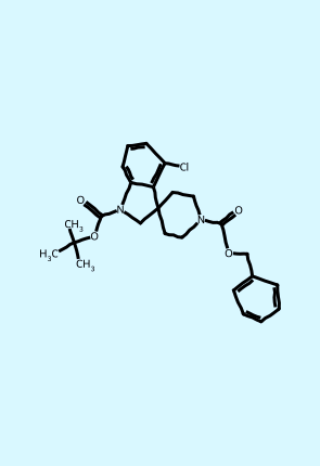 CC(C)(C)OC(=O)N1CC2(CCN(C(=O)OCc3ccccc3)CC2)c2c(Cl)cccc21